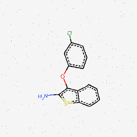 Nc1sc2ccccc2c1Oc1cccc(Cl)c1